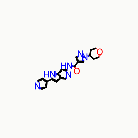 O=C(Nc1cc2[nH]c(-c3ccncc3)cc2cn1)c1cnn(C2CCOCC2)c1